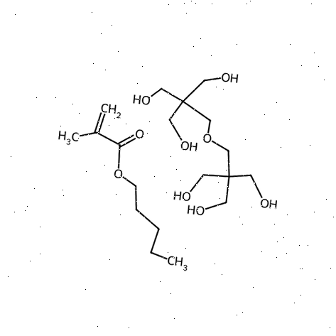 C=C(C)C(=O)OCCCCC.OCC(CO)(CO)COCC(CO)(CO)CO